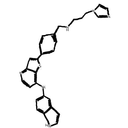 c1cn(CCCNCc2ccc(-c3cc4nccc(Nc5ccc6[nH]ccc6c5)c4s3)cc2)cn1